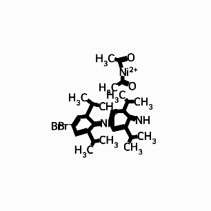 CC(C)C1=CC=CC(C(C)C)C1=N.CC(C)C1=CC=CC(C(C)C)C1=N.C[C](=O)[Ni+2][C](C)=O.[Br-].[Br-]